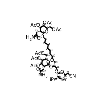 CC(=O)OC[C@H]1O[C@@H](OCCCCCCCOC[C@@H](COP(OCCC#N)N(C(C)C)C(C)C)O[C@@H]2O[C@H](COC(C)=O)[C@H](OC(C)=O)[C@H](OC(C)=O)[C@H]2CC(N)=O)[C@H](CC(N)=O)[C@@H](OC(C)=O)[C@H]1OC(C)=O